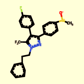 C[S+]([O-])c1ccc(-c2nn(CCc3ccccc3)c(C(F)(F)F)c2-c2ccc(F)cc2)cc1